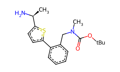 C[C@H](N)c1ccc(-c2ccccc2CN(C)C(=O)OC(C)(C)C)s1